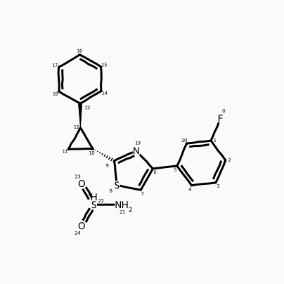 Fc1cccc(-c2csc([C@@H]3C[C@H]3c3ccccc3)n2)c1.N[SH](=O)=O